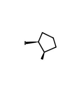 C[C@@H]1CCC[C@@H]1I